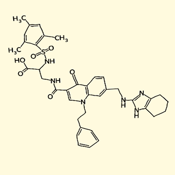 Cc1cc(C)c(S(=O)(=O)NC(CNC(=O)c2cn(CCc3ccccc3)c3cc(CNc4nc5c([nH]4)CCCC5)ccc3c2=O)C(=O)O)c(C)c1